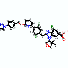 CC1(C)COC[C@H]1n1c(Cc2cc(F)c(-c3cccc(OCc4ccc(-n5ccnn5)cc4)n3)cc2F)nc2c(F)cc(C(=O)O)cc21